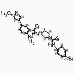 Cn1cc(-c2cnc(N)c(C(=O)N[C@@H]3CCN(C(=S)Nc4ccc(Br)cc4)C3)c2)cn1